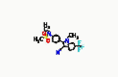 CCN(c1ccc(-c2c(C#N)c3ccc(C(F)(F)F)cc3n2CC)cc1)S(C)(=O)=O